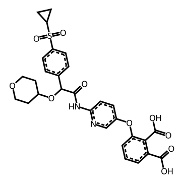 O=C(O)c1cccc(Oc2ccc(NC(=O)C(OC3CCOCC3)c3ccc(S(=O)(=O)C4CC4)cc3)nc2)c1C(=O)O